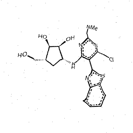 CNc1nc(Cl)c(-c2nc3ccccc3s2)c(N[C@@H]2C[C@H](CO)[C@@H](O)[C@H]2O)n1